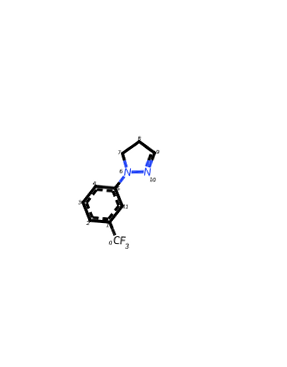 FC(F)(F)c1cccc(N2CCC=N2)c1